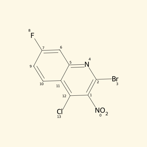 O=[N+]([O-])c1c(Br)nc2cc(F)ccc2c1Cl